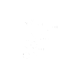 C[C@@H]1O[C@@H](O[C@H]2C[C@@](O)(OCC(=O)CO)Cc3c(O)c4c(c(O)c32)C(=O)c2ccccc2C4=O)C[C@H](N)[C@@H]1O